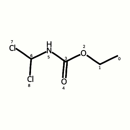 CCOC(=O)NC(Cl)Cl